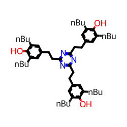 CCCCc1cc(CCc2nc(CCc3cc(CCCC)c(O)c(CCCC)c3)nc(CCc3cc(CCCC)c(O)c(CCCC)c3)n2)cc(CCCC)c1O